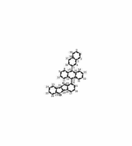 c1ccc2cc(-c3c4ccccc4c(-c4cccc5c4sc4c6ccccc6sc54)c4ccccc34)ccc2c1